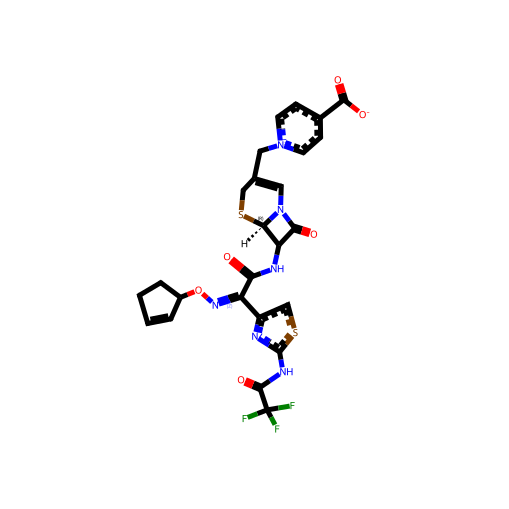 O=C(NC1C(=O)N2C=C(C[n+]3ccc(C(=O)[O-])cc3)CS[C@H]12)/C(=N\OC1C=CCC1)c1csc(NC(=O)C(F)(F)F)n1